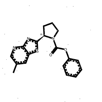 Cc1cnc2nc([C@H]3CCCN3C(=O)Oc3ccccc3)sc2c1